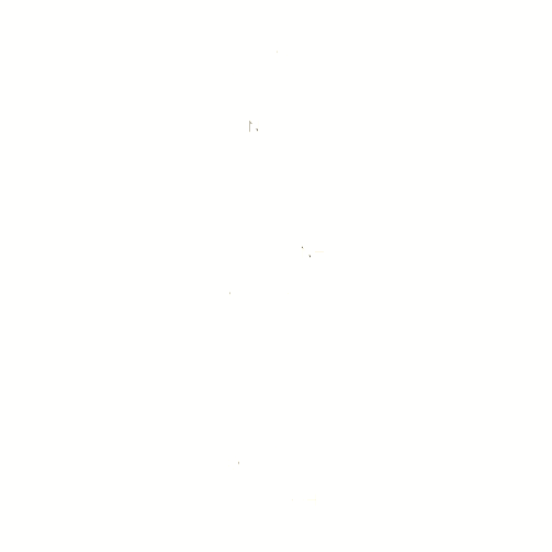 O=C(O)CCCC(=O)NCCc1cocn1